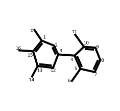 Cc1cc(-c2c(C)cccc2C)cc(C)c1C